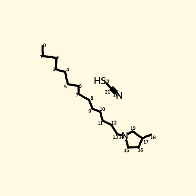 CCCCCCCCCCCCCCN1CCC(C)C1.N#CS